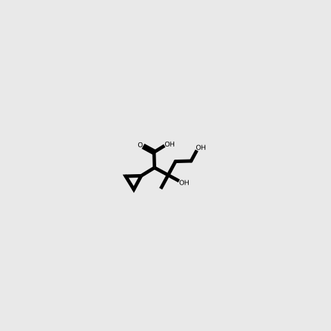 CC(O)(CCO)C(C(=O)O)C1CC1